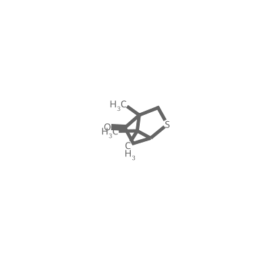 CC12CSC(CC1=O)C2(C)C